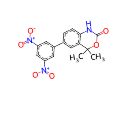 CC1(C)OC(=O)Nc2ccc(-c3cc([N+](=O)[O-])cc([N+](=O)[O-])c3)cc21